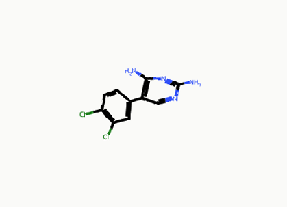 Nc1ncc(-c2ccc(Cl)c(Cl)c2)c(N)n1